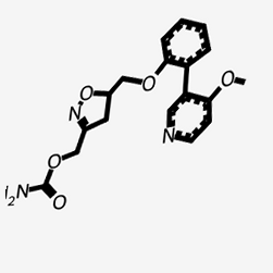 COc1ccncc1-c1ccccc1OCC1CC(COC(N)=O)=NO1